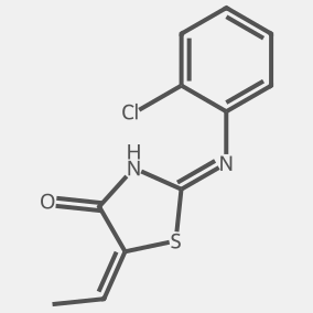 CC=C1SC(=Nc2ccccc2Cl)NC1=O